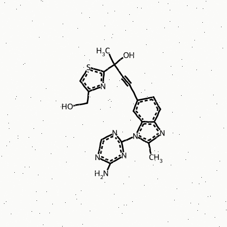 Cc1nc2ccc(C#CC(C)(O)c3nc(CO)cs3)cc2n1-c1ncnc(N)n1